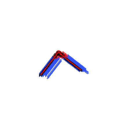 N.N.N.N.N.N.N.N.N.N.N.N.N.N.N.N.N.N.N.N.N.N.N.N.N.N.N.N.N.N.N.N.N.N.N.N.N.N.N.N.N.N.N.N.N.N.N.N.N.N.N.N.N.N.N.N.N.N.N.N.N.N.N.N.N.N.N.N.N.N.N.N.N.N.N.N.N.N.N.N.N.N.N.N.N.N.N.N.N.N.O=CO.O=CO.O=CO.O=CO.O=CO.O=CO.O=CO.O=CO.O=CO.O=CO